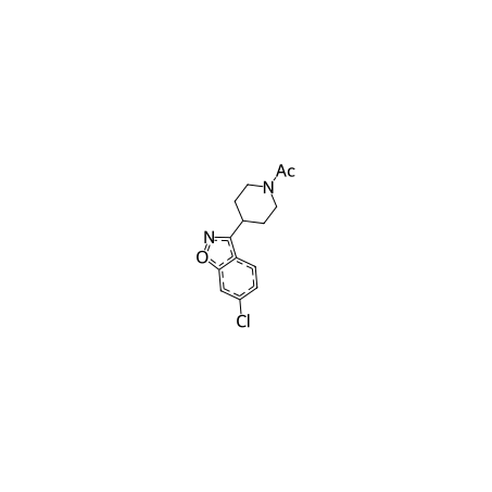 CC(=O)N1CCC(c2noc3cc(Cl)ccc23)CC1